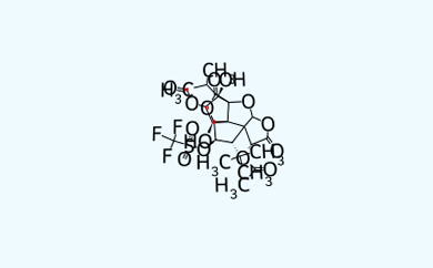 CC(=O)O[C@H]1C(=O)OC2OC34C(=O)OC5[C@H](OS(=O)(=O)C(F)(F)F)[C@@H](C(C)(C)C)C21C53[C@@H](O)C(OC=O)[C@]4(O)C(C)C